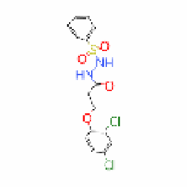 O=C(CCOc1ccc(Cl)cc1Cl)NNS(=O)(=O)c1ccccc1